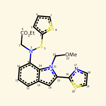 CCOC(=O)CN(Sc1cccs1)c1cccc2cc(-c3nccs3)n(COC)c12